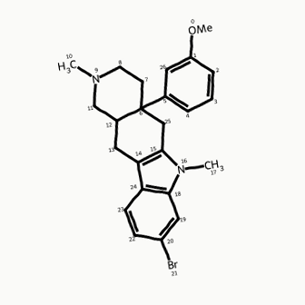 COc1cccc(C23CCN(C)CC2Cc2c(n(C)c4cc(Br)ccc24)C3)c1